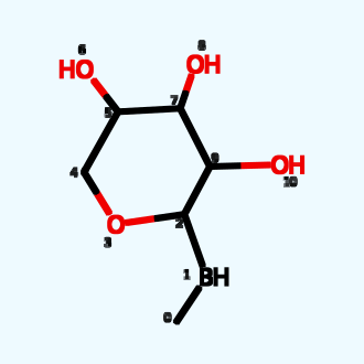 CBC1OCC(O)C(O)C1O